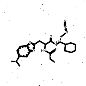 CCC(=O)NC(Cc1nc2ccc(C(C)C)cc2s1)C(=O)N[C@H](CN=[N+]=[N-])C1CCCCC1